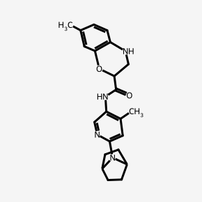 Cc1ccc2c(c1)OC(C(=O)Nc1cnc(N3C4CCC3CC4)cc1C)CN2